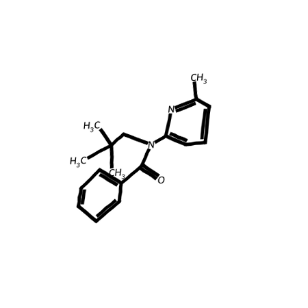 Cc1cccc(N(CC(C)(C)C)C(=O)c2ccccc2)n1